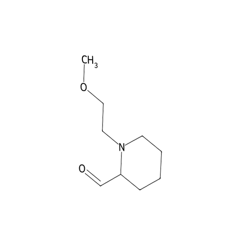 COCCN1CCCCC1C=O